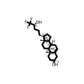 C[C@]1(O)CC[C@@]2(C)C(=CC[C@H]3[C@@H]4CC[C@H](CCC[C@H](O)C(F)(F)F)[C@@]4(C)CC[C@@H]32)C1